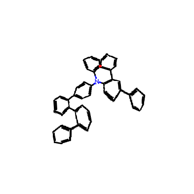 c1ccc(-c2ccc(N(c3ccccc3)c3ccc(-c4ccccc4-c4ccccc4-c4ccccc4)cc3)c(-c3ccccc3)c2)cc1